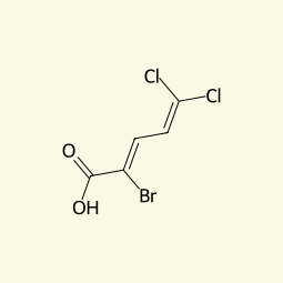 O=C(O)/C(Br)=C/C=C(Cl)Cl